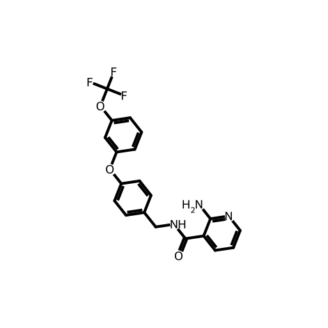 Nc1ncccc1C(=O)NCc1ccc(Oc2cccc(OC(F)(F)F)c2)cc1